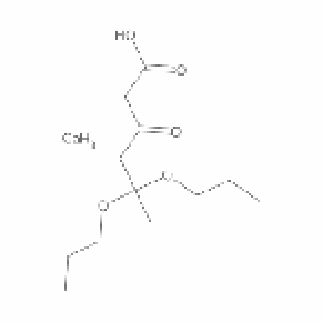 CCCOC(C)(CC(=O)CC(=O)O)OCCC.[GaH3]